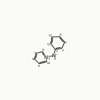 c1ccc([N-][n+]2ccccc2)cc1